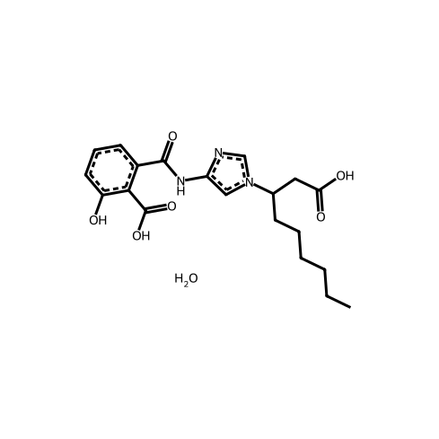 CCCCCCC(CC(=O)O)n1cnc(NC(=O)c2cccc(O)c2C(=O)O)c1.O